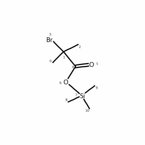 CC(C)(Br)C(=O)O[Si](C)(C)C